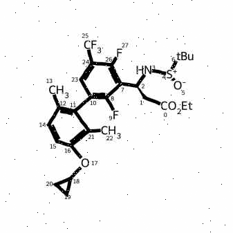 CCOC(=O)C[C@H](N[S+]([O-])C(C)(C)C)c1c(F)c(-c2c(C)ccc(OC3CC3)c2C)cc(C(F)(F)F)c1F